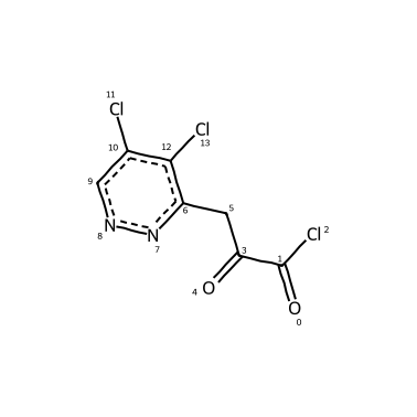 O=C(Cl)C(=O)Cc1nncc(Cl)c1Cl